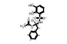 CCCCc1cccc(S(=O)(=O)N[C@](CC)(Cc2ccccc2)OC(N)=O)c1O